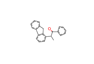 CC(C(=O)c1ccccc1)c1cccc2c1Cc1ccccc1-2